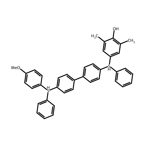 COc1ccc([SH](c2ccccc2)c2ccc(-c3ccc([SH](c4ccccc4)c4cc(C)c(O)c(C)c4)cc3)cc2)cc1